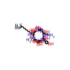 CCC(C)CC(C)CCCCCCCCC(=O)N[C@H]1C[C@@H](O)[C@@H](O)NC(=O)[C@@H]2[C@@H](O)CCN2C(=O)[C@H]([C@H](O)CCN)NC(=O)[C@H]([C@H](O)[C@@H](O)c2ccc(O)cc2)NC(=O)[C@@H]2C[C@@H](O)CN2C(=O)[C@H]([C@@H](C)O)NC1=O